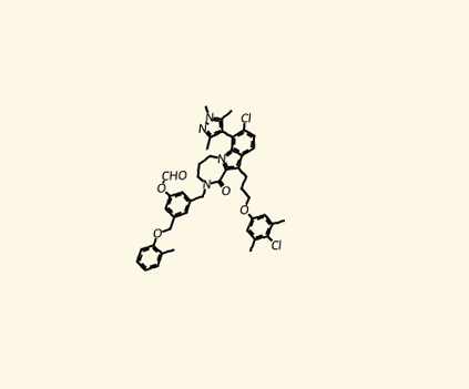 Cc1ccccc1OCc1cc(CN2CCCn3c(c(CCCOc4cc(C)c(Cl)c(C)c4)c4ccc(Cl)c(-c5c(C)nn(C)c5C)c43)C2=O)cc(OC=O)c1